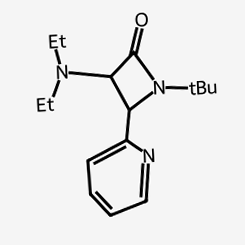 CCN(CC)C1C(=O)N(C(C)(C)C)C1c1ccccn1